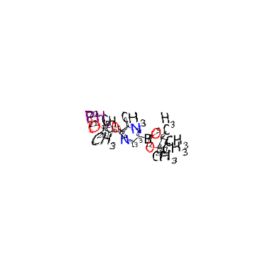 Cc1nc(B2OC(C)(C)C(C)(C)O2)cnc1OCC(C)(C)OP